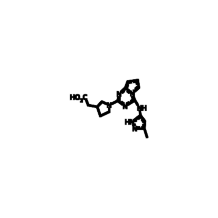 Cc1cc(Nc2nc(N3CCC(CC(=O)O)C3)nc3cccn23)[nH]n1